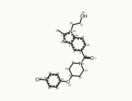 Cc1nc2cc(C(=O)N3CCC(Oc4ccc(Cl)cc4)CC3)ccc2n1CCO